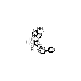 C[C@@]1(O)[C@H](O)C(O[P@]2(=O)OCC[C@H](c3ccncc3)O2)O[C@H]1n1cnc2c(N)ncnc21